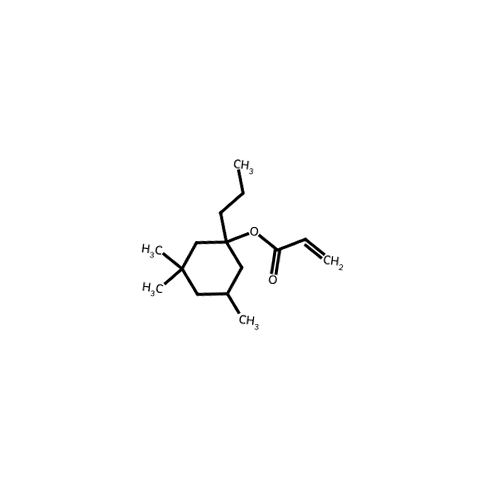 C=CC(=O)OC1(CCC)CC(C)CC(C)(C)C1